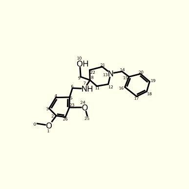 COc1ccc(CNC2(CO)CCN(Cc3ccccc3)CC2)c(OC)c1